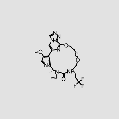 CCN1C(=O)N[C@@H](CCC(F)(F)F)COCCCOc2nc(cn3cnnc23)-c2cc(ncc2OC)[C@H]1C